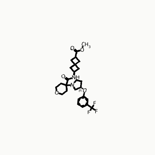 COC(=O)C1CC2(CC(NC(=O)C3(N4CC[C@@H](Oc5cccc(C(F)(F)F)c5)C4)CCOCC3)C2)C1